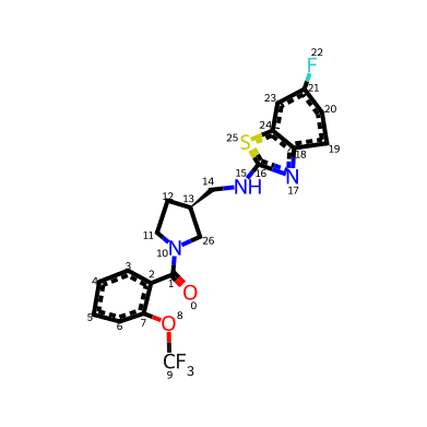 O=C(c1ccccc1OC(F)(F)F)N1CC[C@@H](CNc2nc3ccc(F)cc3s2)C1